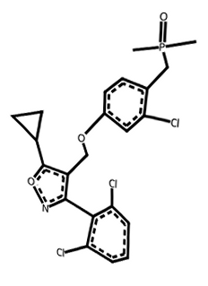 CP(C)(=O)Cc1ccc(OCc2c(-c3c(Cl)cccc3Cl)noc2C2CC2)cc1Cl